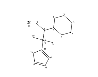 CC(C1CCCCC1)[N+](C)(C)C1=CC=CC1.[Zr]